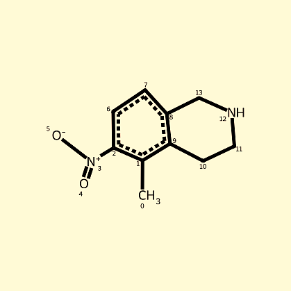 Cc1c([N+](=O)[O-])ccc2c1CCNC2